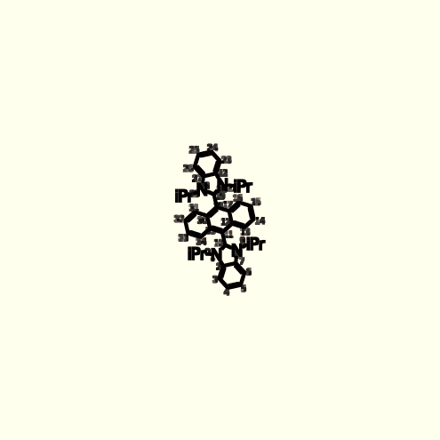 CC(C)N1c2ccccc2N(C(C)C)C1c1c2ccccc2c(C2N(C(C)C)c3ccccc3N2C(C)C)c2ccccc12